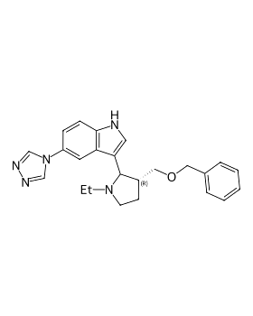 CCN1CC[C@@H](COCc2ccccc2)C1c1c[nH]c2ccc(-n3cnnc3)cc12